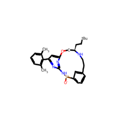 Cc1cccc(C)c1-c1cc2nc(n1)N[S+]([O-])c1cccc(c1)CCN[C@H](CCC(C)(C)C)CO2